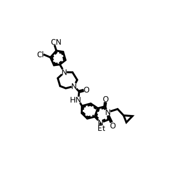 CCn1c(=O)n(CC2CC2)c(=O)c2cc(NC(=O)N3CCCN(c4ccc(C#N)c(Cl)c4)CC3)ccc21